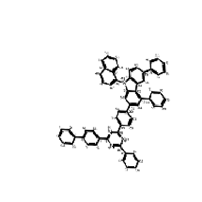 c1ccc(-c2ccc(-c3nc(-c4ccccc4)nc(-c4ccc(-c5cc(-c6ccccc6)c6c7cc(-c8ccccc8)ccc7n(-c7cccc8ccccc78)c6c5)cc4)n3)cc2)cc1